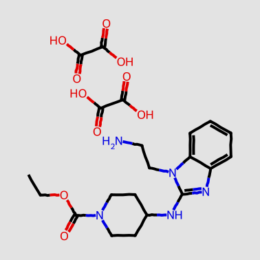 CCOC(=O)N1CCC(Nc2nc3ccccc3n2CCN)CC1.O=C(O)C(=O)O.O=C(O)C(=O)O